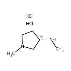 CN[C@H]1CCN(C)C1.Cl.Cl